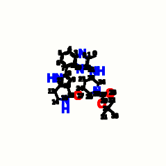 Cc1nc2cccc(-c3cc4c([nH]3)CCNC4=O)c2nc1N[C@H]1CCCN(C(=O)OC(C)(C)C)C1